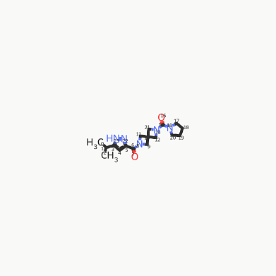 CC(C)c1cc(C(=O)N2CC3(C2)CN(C(=O)N2CCCC2)C3)n[nH]1